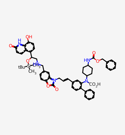 CC(C)(C)[Si](C)(C)OC(CNCc1ccc2oc(=O)n(CC=Cc3ccc(-c4ccccc4)c(N(C(=O)O)C4CCC(NC(=O)OCc5ccccc5)CC4)c3)c2c1)c1ccc(O)c2[nH]c(=O)ccc12